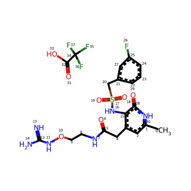 Cc1cc(CC(=O)NCCONC(=N)N)c(NS(=O)(=O)Cc2cccc(F)c2)c(=O)[nH]1.O=C(O)C(F)(F)F